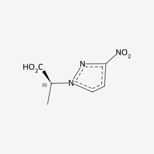 C[C@@H](C(=O)O)n1ccc([N+](=O)[O-])n1